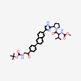 COC(=O)NC(C(=O)N1CCCC1c1nc(-c2ccc3cc(-c4ccc(C(=O)CNC(=O)OC(C)(C)C)cc4)ccc3c2)c[nH]1)C(C)C